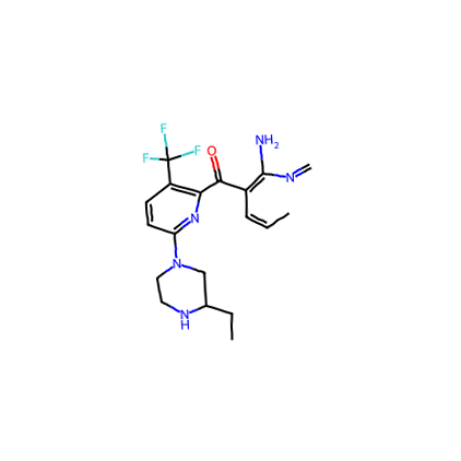 C=N/C(N)=C(\C=C/C)C(=O)c1nc(N2CCNC(CC)C2)ccc1C(F)(F)F